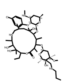 CCCNC[C@]1(O)[C@H](C)O[C@@H](OC2C(C)C(=O)OC(CC)C(C)(O)C(O)C(C)NCC(C)CC(C)(O)C(O[C@@H]3O[C@H](C)C[C@H](NC)[C@H]3Oc3ccc(Cl)cc3)C2C)C[C@@]1(C)OC